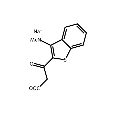 CNc1c(C(=O)CC(=O)[O-])sc2ccccc12.[Na+]